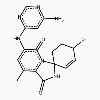 CCC1C=CC2(CC1)NC(=O)c1c(C)cc(Nc3cc(N)ncn3)c(=O)n12